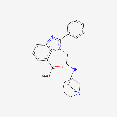 COC(=O)c1cccc2nc(-c3ccccc3)n(CCNC3CN4CCC3CC4)c12